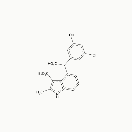 CCOC(=O)c1c(C)[nH]c2cccc(C(C(=O)O)c3cc(O)cc(Cl)c3)c12